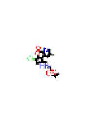 COC(=O)c1ncc(C)cc1-c1cc(Cl)ccc1CNCC(=O)OC(C)(C)C